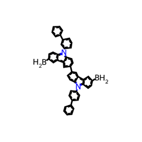 Bc1ccc2c(c1)c1cc(-c3ccc4c(c3)c3cc(B)ccc3n4-c3cccc(-c4ccccc4)c3)ccc1n2-c1ccc(-c2ccccc2)cc1